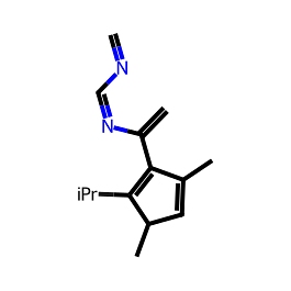 C=N/C=N\C(=C)C1=C(C(C)C)C(C)C=C1C